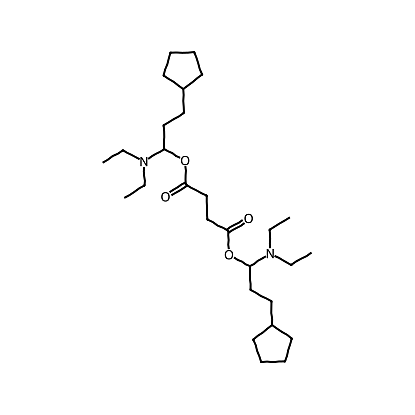 CCN(CC)C(CCC1CCCC1)OC(=O)CCC(=O)OC(CCC1CCCC1)N(CC)CC